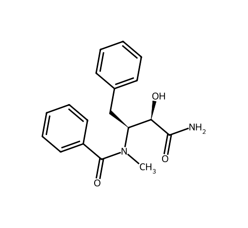 CN(C(=O)c1ccccc1)[C@@H](Cc1ccccc1)[C@@H](O)C(N)=O